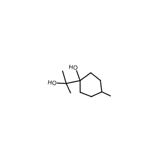 CC1CCC(O)(C(C)(C)O)CC1